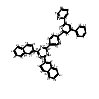 c1ccc(-c2cc(-c3ccccn3)nc(-c3ccc(-c4nc(-c5ccc6ccccc6c5)nc(-c5ccc6ccccc6c5)n4)cn3)c2)cc1